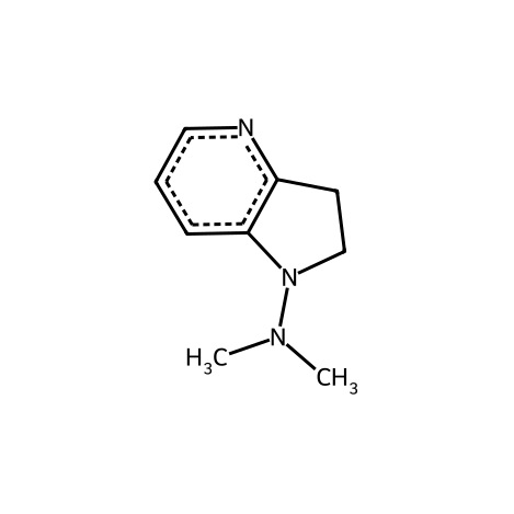 CN(C)N1CCc2ncccc21